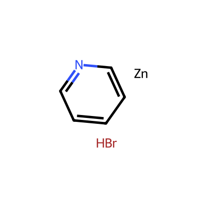 Br.[Zn].c1ccncc1